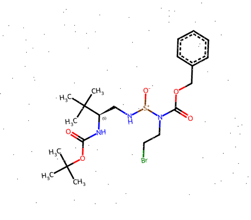 CC(C)(C)OC(=O)N[C@H](CN[S+]([O-])N(CCBr)C(=O)OCc1ccccc1)C(C)(C)C